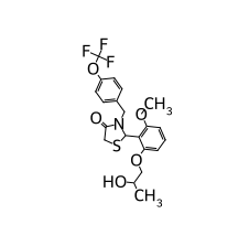 COc1cccc(OCC(C)O)c1C1SCC(=O)N1Cc1ccc(OC(F)(F)F)cc1